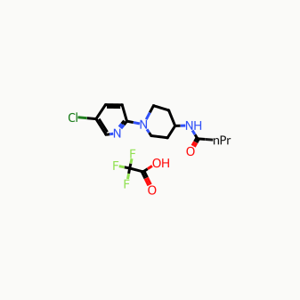 CCCC(=O)NC1CCN(c2ccc(Cl)cn2)CC1.O=C(O)C(F)(F)F